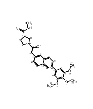 CNC(=O)[C@H]1CCN(C(=O)Cc2ccc3cc(-c4cc(OC)c(OC)c(OC)c4)ccc3c2)C1